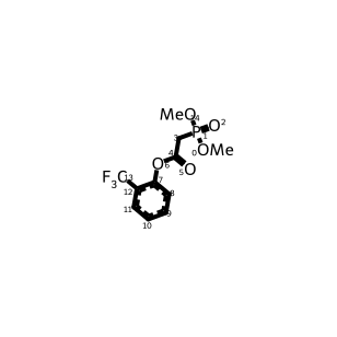 COP(=O)(CC(=O)Oc1ccccc1C(F)(F)F)OC